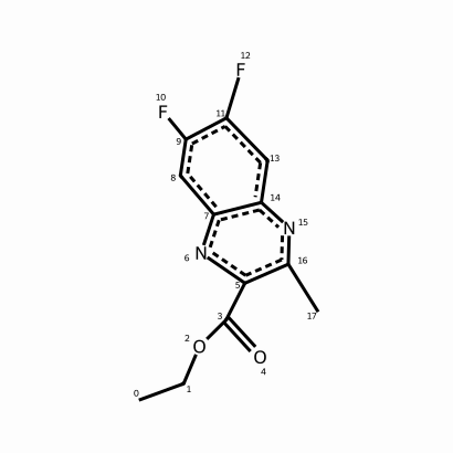 CCOC(=O)c1nc2cc(F)c(F)cc2nc1C